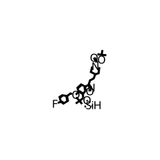 C[SiH](C)OC(c1c(OCc2ccc(F)cc2)ccc2c(CCC3CCN(C(=O)OC(C)(C)C)CC3)noc12)C(C)(C)C